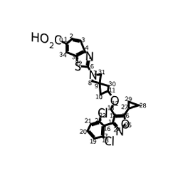 O=C(O)c1ccc2nc(N3CC4(CC(OCc5c(-c6c(Cl)cccc6Cl)noc5C5CC5)C4)C3)sc2c1